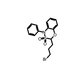 O=S1(=O)C(CCCBr)Oc2ccccc2N1c1ccccc1